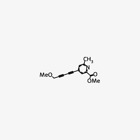 COCC#CC#Cc1cc(C)nc(C(=O)OC)c1